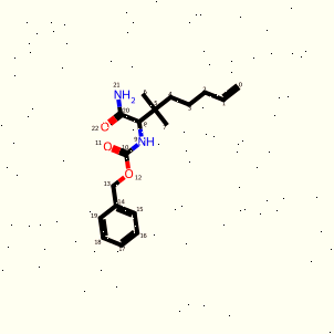 C=CCCCC(C)(C)C(NC(=O)OCc1ccccc1)C(N)=O